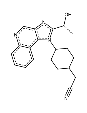 C[C@@H](O)c1nc2cnc3ccccc3c2n1C1CCC(CC#N)CC1